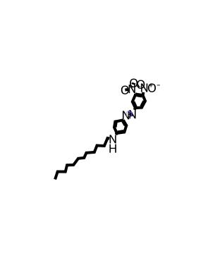 CCCCCCCCCCCCNc1ccc(/N=N/c2ccc([N+](=O)[O-])c([N+](=O)[O-])c2)cc1